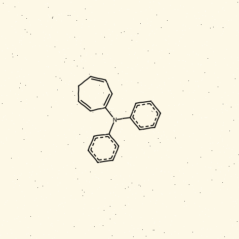 C1=CCC=CC(N(c2ccccc2)c2ccccc2)=C1